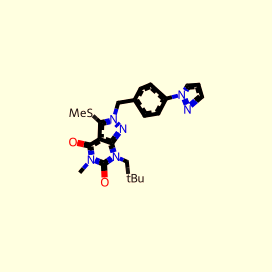 CSc1c2c(=O)n(C)c(=O)n(CC(C)(C)C)c2nn1Cc1ccc(-n2cccn2)cc1